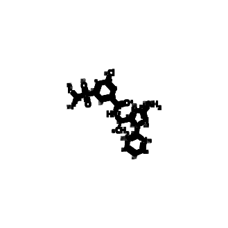 C[C@H](NC(=O)c1cc(Cl)cc(S(=O)(=O)C(F)F)c1)c1nc(N)nn1-c1ncccn1